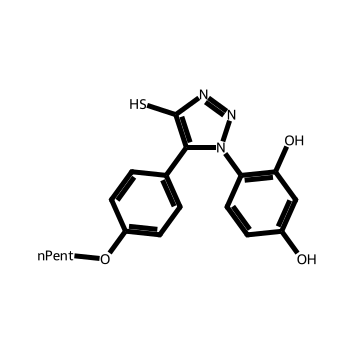 CCCCCOc1ccc(-c2c(S)nnn2-c2ccc(O)cc2O)cc1